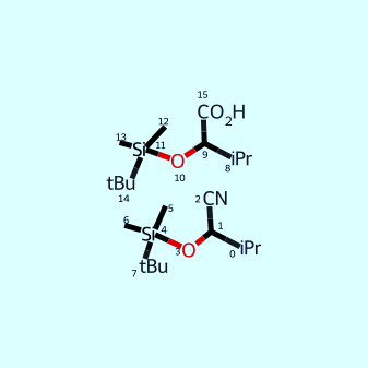 CC(C)C(C#N)O[Si](C)(C)C(C)(C)C.CC(C)C(O[Si](C)(C)C(C)(C)C)C(=O)O